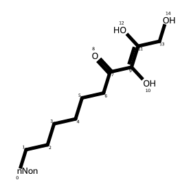 CCCCCCCCCCCCCCCC(=O)C(O)=C(O)CO